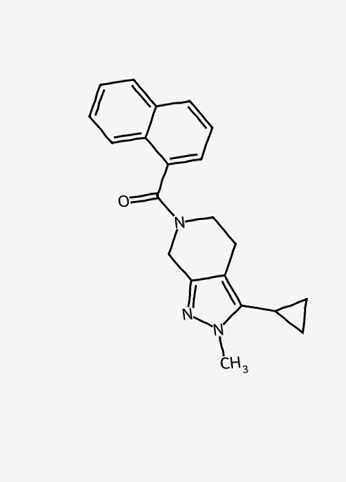 Cn1nc2c(c1C1CC1)CCN(C(=O)c1cccc3ccccc13)C2